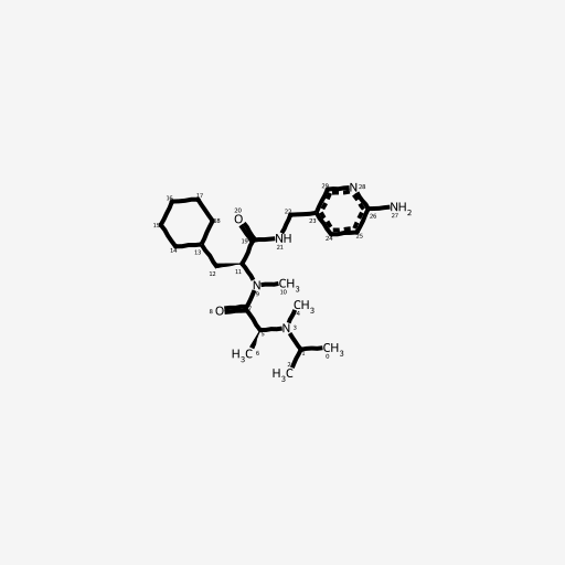 CC(C)N(C)[C@@H](C)C(=O)N(C)[C@@H](CC1CCCCC1)C(=O)NCc1ccc(N)nc1